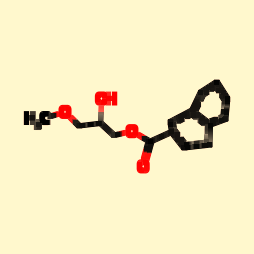 COCC(O)COC(=O)c1ccc2ccccc2c1